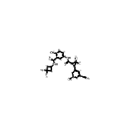 N#Cc1cc(Cl)cc(C2C(C(=O)Nc3ccc(Cl)c(C(=O)NC4CC(F)(F)C4)c3)C2(Cl)Cl)c1